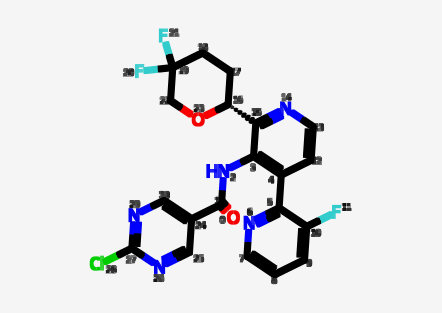 O=C(Nc1c(-c2ncccc2F)ccnc1[C@H]1CCC(F)(F)CO1)c1cnc(Cl)nc1